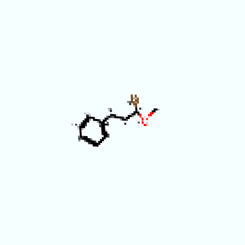 COC(Br)CCc1ccccc1